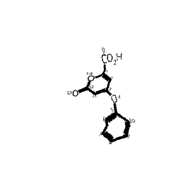 O=C(O)c1cc(Oc2ccccc2)cc(=O)o1